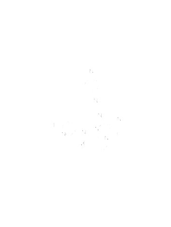 Cc1cc([C@@H](C)Nc2ccc(Cl)nc2C(=O)O)c2nc(N3CCN(c4ccc(C#N)cc4)C[C@H]3C)c(C#N)c(=O)n2c1